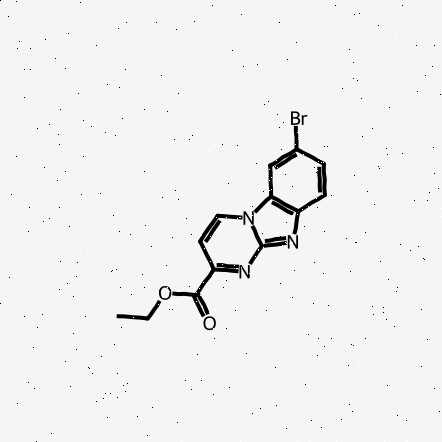 CCOC(=O)c1ccn2c(n1)nc1ccc(Br)cc12